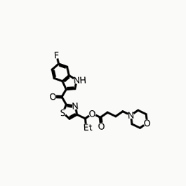 CCC(OC(=O)CCCN1CCOCC1)c1csc(C(=O)c2c[nH]c3cc(F)ccc23)n1